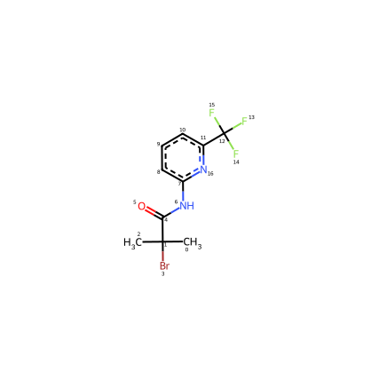 CC(C)(Br)C(=O)Nc1cccc(C(F)(F)F)n1